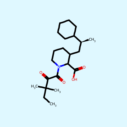 CCC(C)(C)C(=O)C(=O)N1CCCC(C[C@H](C)C2CCCCC2)C1C(=O)O